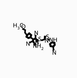 COCCCc1ccc(-c2c(C#N)c(N)nc(SCc3csc(Nc4ccc(C#N)cc4)n3)c2C#N)cc1